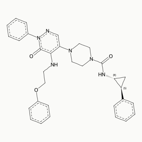 O=C(N[C@@H]1C[C@H]1c1ccccc1)N1CCN(c2cnn(-c3ccccc3)c(=O)c2NCCOc2ccccc2)CC1